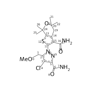 COCc1c(Cl)c(C(N)=O)nn1-c1sc2c(c1C(N)=O)CC(C)(C)OC2(C)C